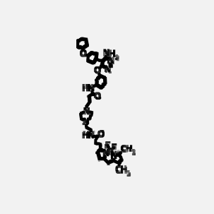 CC1=CC(C)=[N+]2C1=Cc1ccc(CCC(=O)NCCN3CCN(C/C=C/C(=O)Nc4cccc(Oc5ncnc(N)c5-c5ccc(Oc6ccccc6)cc5)c4)CC3)n1[B-]2(F)F